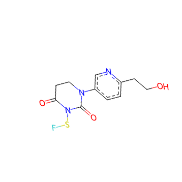 O=C1CCN(c2ccc(CCO)nc2)C(=O)N1SF